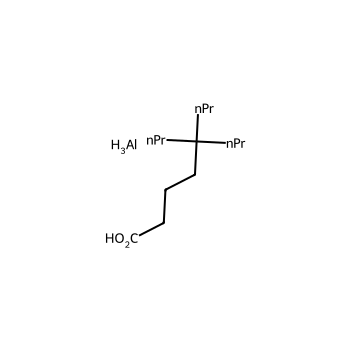 CCCC(CCC)(CCC)CCCC(=O)O.[AlH3]